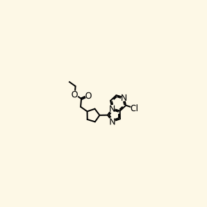 CCOC(=O)CC1CCC(c2ncc3c(Cl)nccn23)C1